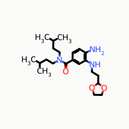 CC(C)CCN(CCC(C)C)C(=O)c1ccc(N)c(NCCC2OCCO2)c1